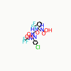 O=C(O)NCC(NC(=O)Cn1nc(-c2ccc(Cl)cc2)n(C[C@H](O)C(F)(F)F)c1=O)c1ccccc1C(F)(F)F